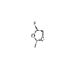 CC1OCC(F)O1